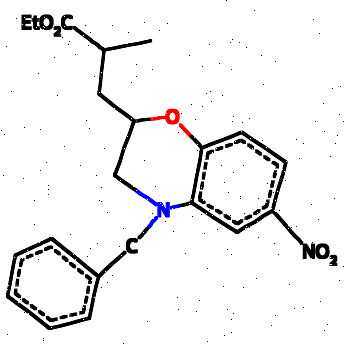 CCOC(=O)C(C)CC1CN(Cc2ccccc2)c2cc([N+](=O)[O-])ccc2O1